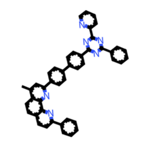 Cc1cc(-c2ccc(-c3ccc(-c4nc(-c5ccccc5)nc(-c5ccccn5)n4)cc3)cc2)nc2c1ccc1ccc(-c3ccccc3)nc12